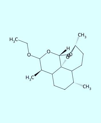 CCOC1O[C@@H]2O[C@]3(C)CCC4[C@H](C)CCC([C@H]1C)[C@]42OO3